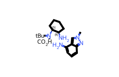 CC(C)(C)N(C(=O)O)[C@H]1CCCC[C@H]1N.Cn1cc2c(N)cccc2n1